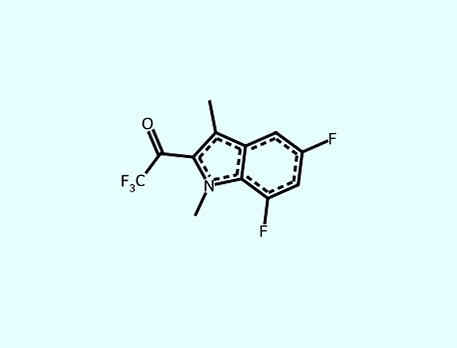 Cc1c(C(=O)C(F)(F)F)n(C)c2c(F)cc(F)cc12